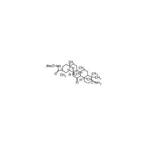 CONC(=O)[C@@]1(C)CC[C@]2(C)CC[C@]3(C)[C@H](CC(=O)[C@@H]4[C@@]5(C)CC[C@H](N)C(C)(C)C5CC[C@]43C)[C@H]2C1